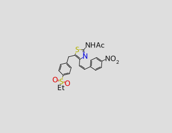 CCS(=O)(=O)c1ccc(Cc2sc(NC(C)=O)nc2/C=C\c2ccc([N+](=O)[O-])cc2)cc1